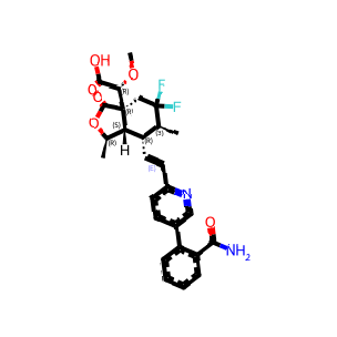 CO[C@@H](C(=O)O)[C@@]12CC(F)(F)[C@@H](C)[C@H](/C=C/c3ccc(-c4ccccc4C(N)=O)cn3)[C@@H]1[C@@H](C)OC2=O